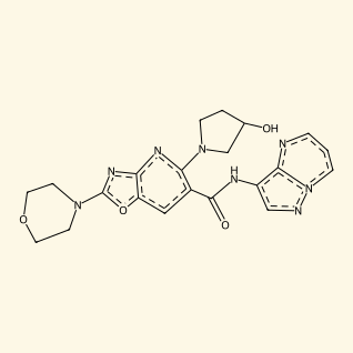 O=C(Nc1cnn2cccnc12)c1cc2oc(N3CCOCC3)nc2nc1N1CCC(O)C1